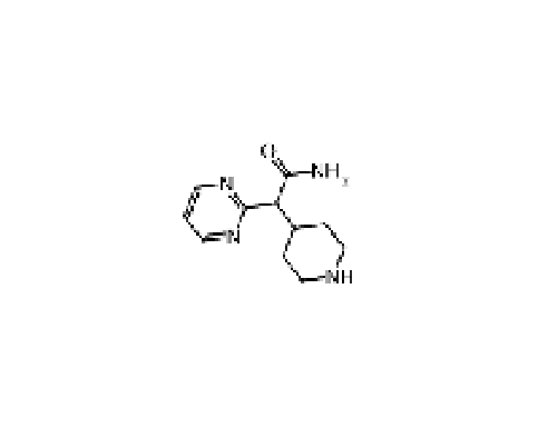 NC(=O)C(c1ncccn1)C1CCNCC1